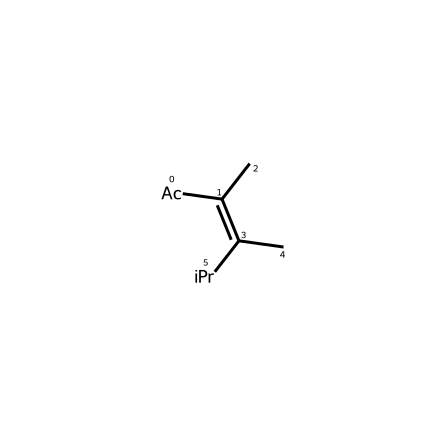 CC(=O)/C(C)=C(/C)C(C)C